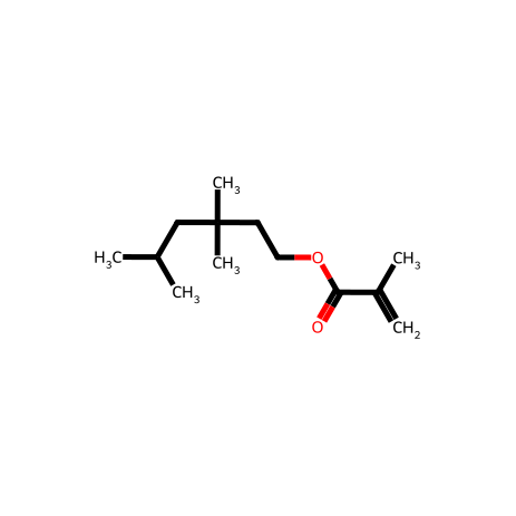 C=C(C)C(=O)OCCC(C)(C)CC(C)C